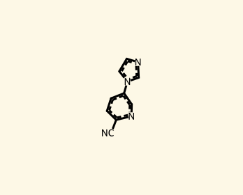 N#Cc1ccc(-n2ccnc2)cn1